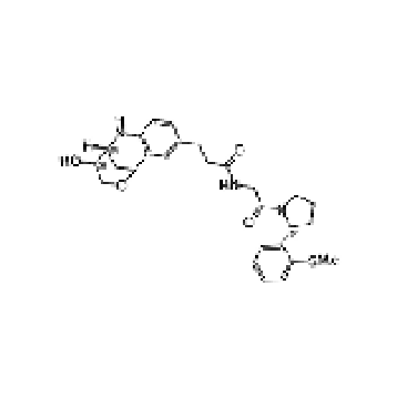 CSc1ccccc1[C@H]1CCCN1C(=O)CNC(=O)CCc1ccc2c(c1)C1C[C@@H](N2)[C@H](O)CO1